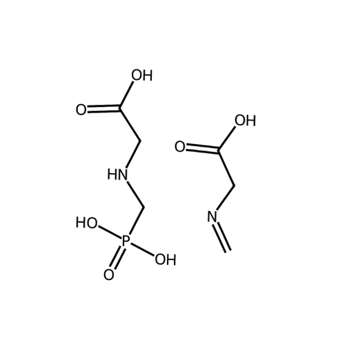 C=NCC(=O)O.O=C(O)CNCP(=O)(O)O